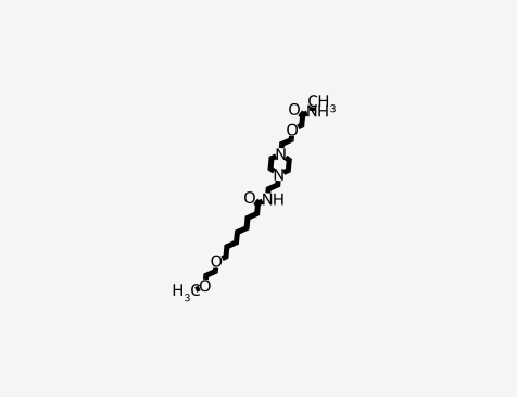 CNC(=O)COCCN1CCN(CCNC(=O)CCCCCCCOCCOC)CC1